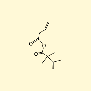 C=CCC(=O)OC(=O)C(C)(C)C(=C)C